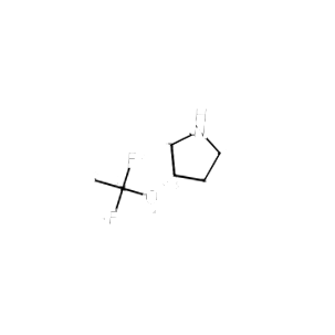 CC(F)(F)O[C@H]1CCNC1